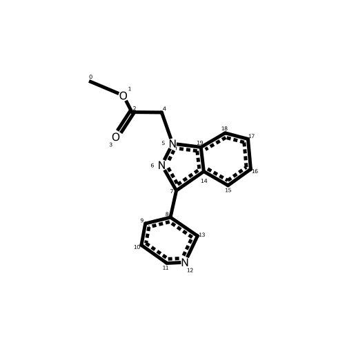 COC(=O)Cn1nc(-c2cccnc2)c2ccccc21